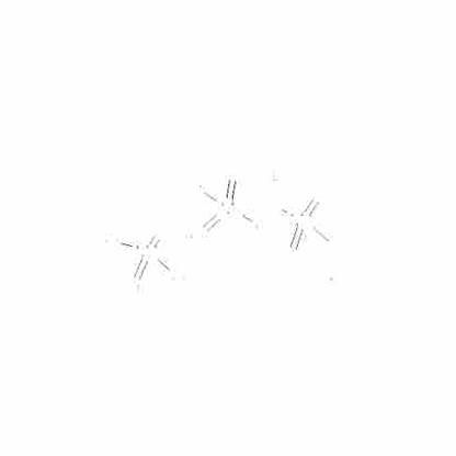 [Li+].[O]=[Mo](=[O])([O-])[O-].[O]=[Mo](=[O])([O-])[O-].[O]=[Mo](=[O])([O-])[O-].[V+5]